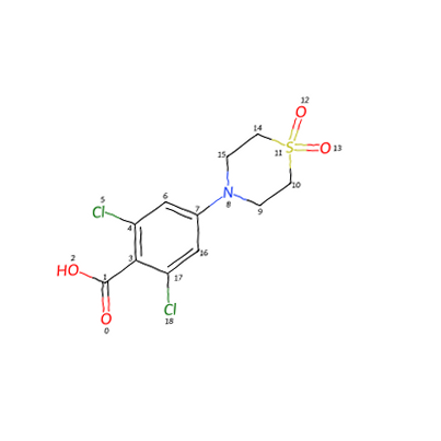 O=C(O)c1c(Cl)cc(N2CCS(=O)(=O)CC2)cc1Cl